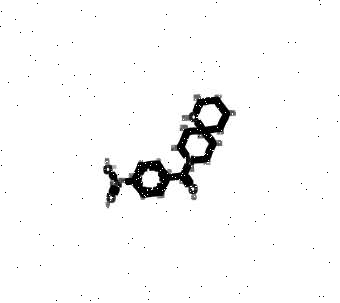 O=C(c1ccc([N+](=O)[O-])cc1)N1CCC2(CCCCO2)CC1